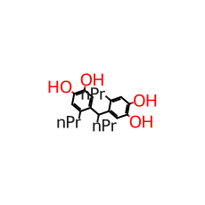 CCCc1cc(O)c(O)cc1C(CCC)c1cc(O)c(O)cc1CCC